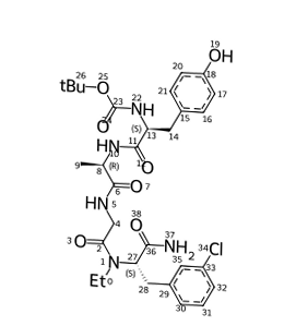 CCN(C(=O)CNC(=O)[C@@H](C)NC(=O)[C@H](Cc1ccc(O)cc1)NC(=O)OC(C)(C)C)[C@@H](Cc1cccc(Cl)c1)C(N)=O